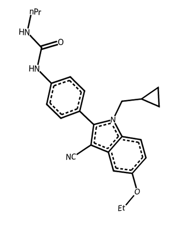 CCCNC(=O)Nc1ccc(-c2c(C#N)c3cc(OCC)ccc3n2CC2CC2)cc1